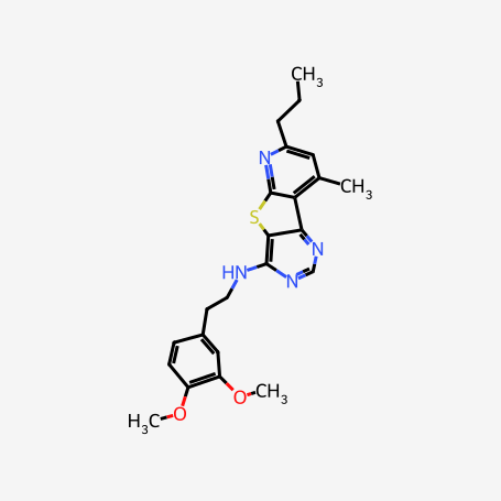 CCCc1cc(C)c2c(n1)sc1c(NCCc3ccc(OC)c(OC)c3)ncnc12